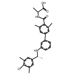 Cc1cc([C@@H](C)Nc2cccc(-c3cc(C)c(C(=O)NC(C)C(=O)O)c(C)c3)c2)cc(C)c1Cl